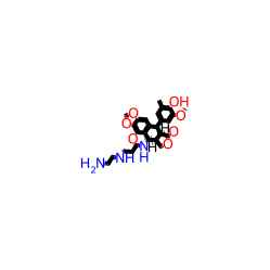 COc1cc(C2c3cc4c(cc3[C@@H](NC(=O)CCNCCN)[C@H]3COC(=O)[C@H]23)OCO4)cc(C)c1O